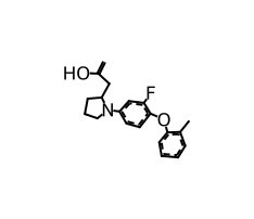 C=C(O)CC1CCCN1c1ccc(Oc2ccccc2C)c(F)c1